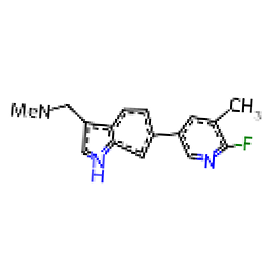 CNCc1c[nH]c2cc(-c3cnc(F)c(C)c3)ccc12